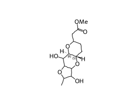 COC(=O)CC1CC[C@@H]2OC3C(O)C(C)OC3C(O)[C@H]2O1